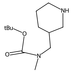 CN(CC1CCCNC1)C(=O)OC(C)(C)C